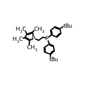 Cc1c(C)c(C)p(CCP(c2ccc(C(C)(C)C)cc2)c2ccc(C(C)(C)C)cc2)c1C